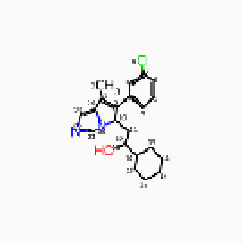 CC1=C(c2cccc(Cl)c2)C(CC(O)C2CCCCC2)n2cncc21